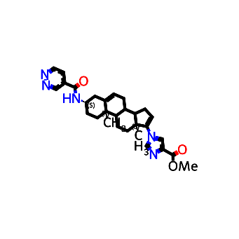 COC(=O)c1cn(C2=CCC3C4CC=C5C[C@@H](NC(=O)c6ccnnc6)CC[C@]5(C)C4CC[C@]23C)cn1